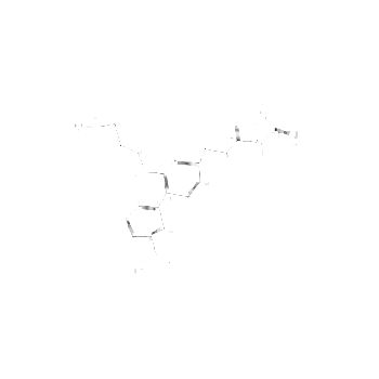 COCCCOc1cc(CCC(=O)NC(=N)N)ccc1-c1cccc(OC(C)C)c1